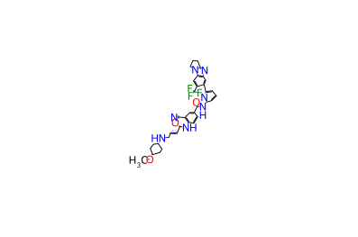 CO[C@H]1CC[C@H](NC/C=C/C(=O)Nc2ccc(C(=O)Nc3cccc(-c4cc5nc6n(c5cc4C(F)(F)F)CCC6)n3)cc2C#N)CC1